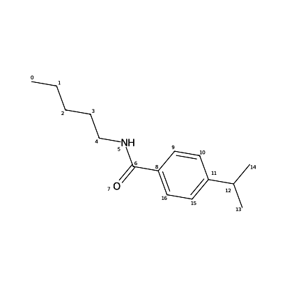 CCCCCNC(=O)c1ccc(C(C)C)cc1